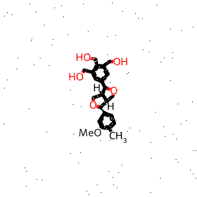 COc1cc([C@H]2OC[C@@H]3C(c4cc(CO)c(CO)c(CO)c4)OC[C@H]23)ccc1C